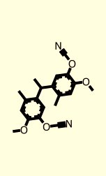 COc1cc(C)c(C(C)c2cc(OC#N)c(OC)cc2C)cc1OC#N